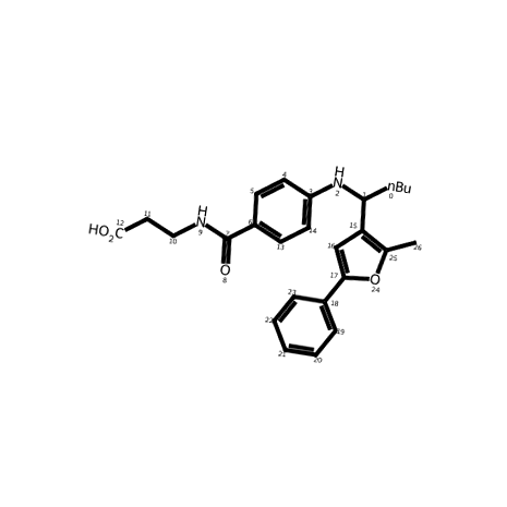 CCCCC(Nc1ccc(C(=O)NCCC(=O)O)cc1)c1cc(-c2ccccc2)oc1C